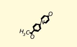 CC(=O)c1ccc(-n2ccc(=O)cc2)cc1